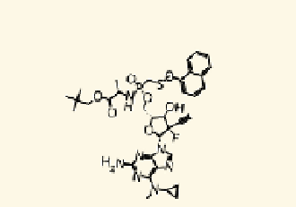 C#C[C@@]1(F)[C@H](O)[C@@H](COP(=O)(CSOc2cccc3ccccc23)N[C@H](C)C(=O)OCC(C)(C)C)O[C@H]1n1cnc2c(N(C)C3CC3)nc(N)nc21